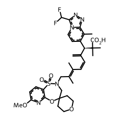 C=C(/C=C\C(C)=C(/C)CN1CC2(CCOCC2)Oc2nc(OC)ccc2S1(=O)=O)[C@@H](c1ccn2c(C(F)F)nnc2c1C)C(C)(C)C(=O)O